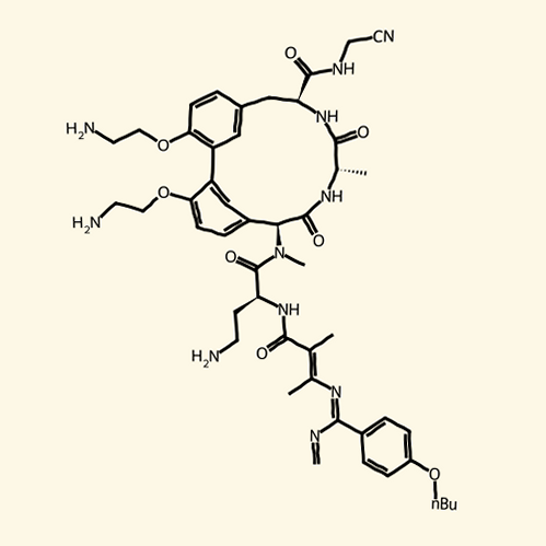 C=N/C(=N\C(C)=C(/C)C(=O)N[C@@H](CCN)C(=O)N(C)[C@@H]1C(=O)N[C@@H](C)C(=O)N[C@H](C(=O)NCC#N)Cc2ccc(OCCN)c(c2)-c2cc1ccc2OCCN)c1ccc(OCCCC)cc1